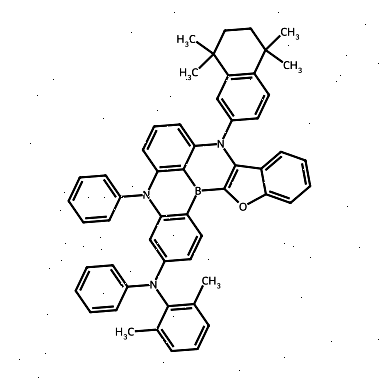 Cc1cccc(C)c1N(c1ccccc1)c1ccc2c(c1)N(c1ccccc1)c1cccc3c1B2c1oc2ccccc2c1N3c1ccc2c(c1)C(C)(C)CCC2(C)C